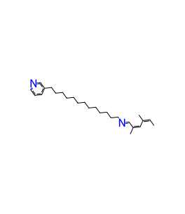 C\C=C(C)/C=C(C)\C=N\CCCCCCCCCCCCCc1cccnc1